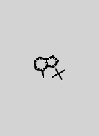 Cc1cccc2ccn(C(C)(C)C)c12